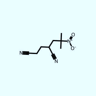 CC(C)(CC(C#N)CCC#N)[N+](=O)[O-]